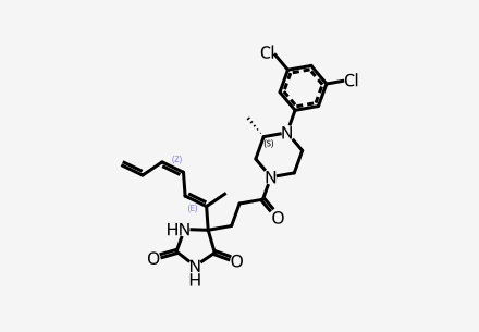 C=C/C=C\C=C(/C)C1(CCC(=O)N2CCN(c3cc(Cl)cc(Cl)c3)[C@@H](C)C2)NC(=O)NC1=O